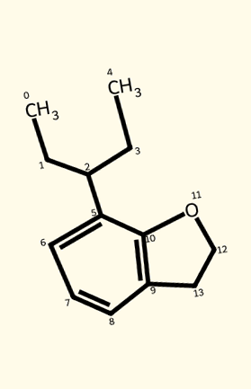 CCC(CC)c1cccc2c1OCC2